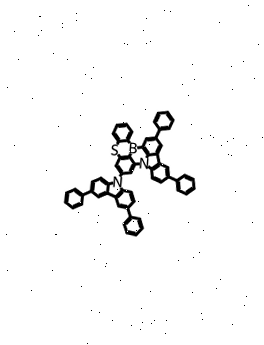 c1ccc(-c2ccc3c(c2)c2cc(-c4ccccc4)ccc2n3-c2cc3c4c(c2)-n2c5ccc(-c6ccccc6)cc5c5cc(-c6ccccc6)cc(c52)B4c2ccccc2S3)cc1